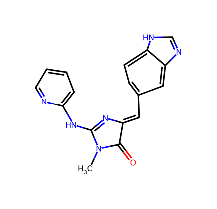 CN1C(=O)/C(=C/c2ccc3[nH]cnc3c2)N=C1Nc1ccccn1